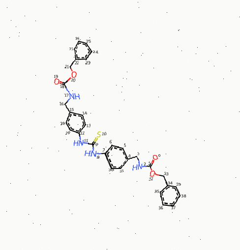 O=C(NCc1ccc(NC(=S)Nc2ccc(CNC(=O)OCc3ccccc3)cc2)cc1)OCc1ccccc1